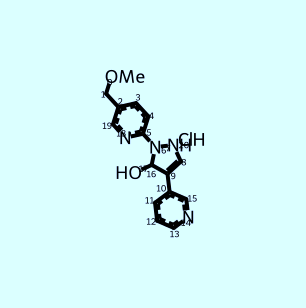 COCc1ccc(N2NC=C(c3cccnc3)C2O)nc1.Cl